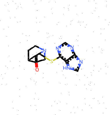 O=C1C2CCN(CC2)C1Sc1ncnc2nc[nH]c12